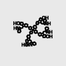 Oc1ccc2c(c1)/C(=C\c1c[nH]c3ccccc13)c1cc(-c3ccc(C(c4ccc(-c5ccc6c(c5)/C(=C/c5c[nH]c7ccccc57)c5cc(O)ccc5-6)cc4)(c4ccc(-c5ccc6c(c5)/C(=C/c5c[nH]c7ccccc57)c5cc(O)ccc5-6)cc4)c4ccc(-c5ccc6c(c5)/C(=C/c5c[nH]c7ccccc57)c5cc(O)ccc5-6)cc4)cc3)ccc1-2